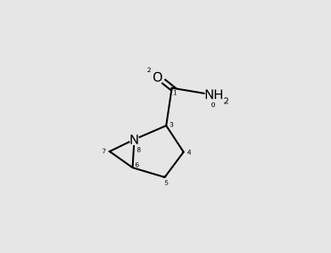 NC(=O)C1CCC2CN21